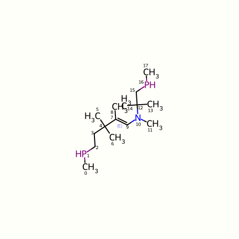 CPCCC(C)(C)/C(C)=C/N(C)C(C)(C)CPC